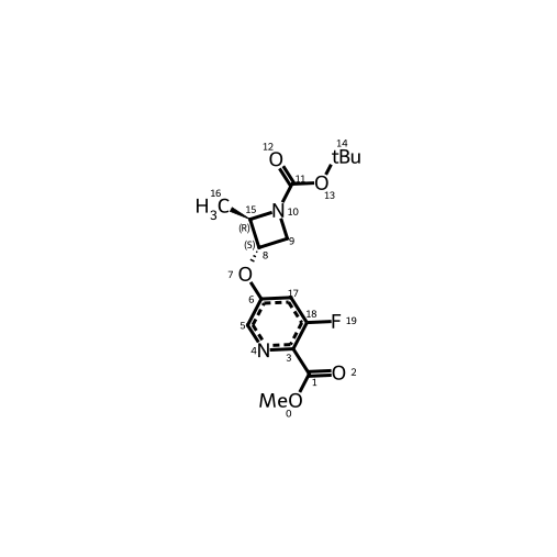 COC(=O)c1ncc(O[C@H]2CN(C(=O)OC(C)(C)C)[C@@H]2C)cc1F